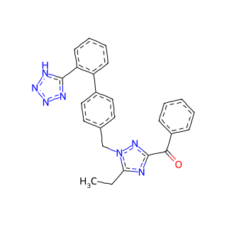 CCc1nc(C(=O)c2ccccc2)nn1Cc1ccc(-c2ccccc2-c2nnn[nH]2)cc1